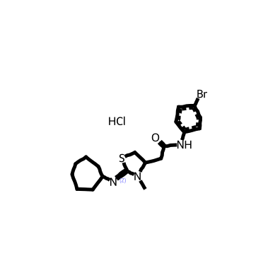 CN1/C(=N/C2CCCCCC2)SCC1CC(=O)Nc1ccc(Br)cc1.Cl